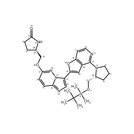 CC(C)(C)[Si](C)(C)OC[C@H]1CCCN1c1nccc2oc(-c3cnc4ccc(OC[C@H]5CCC(=O)N5)nn34)cc12